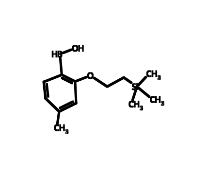 Cc1ccc(BO)c(OCC[Si](C)(C)C)c1